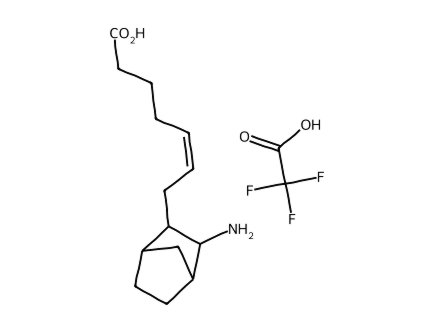 NC1C2CCC(C2)C1C/C=C\CCCC(=O)O.O=C(O)C(F)(F)F